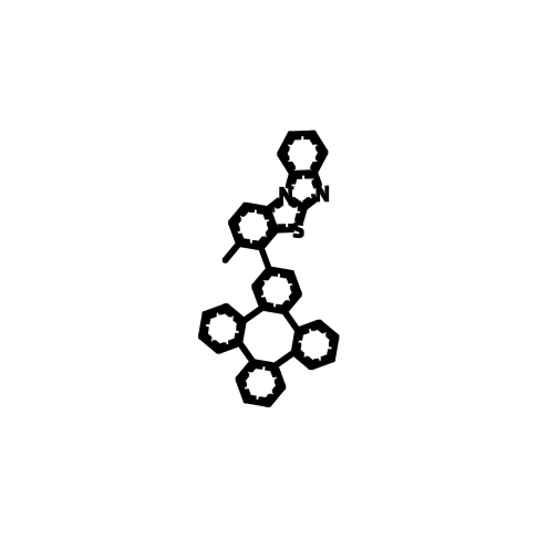 Cc1ccc2c(sc3nc4ccccc4n32)c1-c1ccc2c(c1)-c1ccccc1-c1ccccc1-c1ccccc1-2